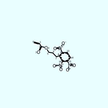 C=CC(=O)OCCCc1c([N+](=O)[O-])ccc([N+](=O)[O-])c1[N+](=O)[O-]